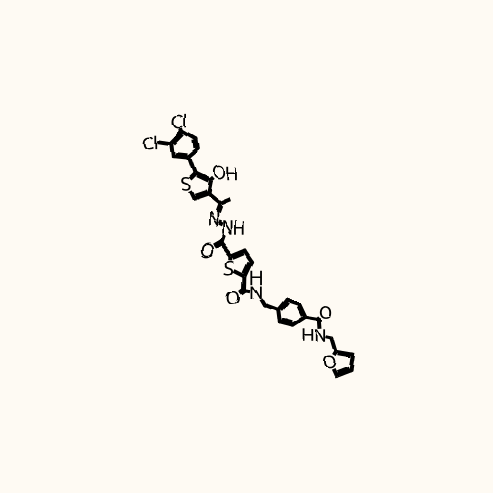 C/C(=N\NC(=O)c1ccc(C(=O)NCc2ccc(C(=O)NCc3ccco3)cc2)s1)c1csc(-c2ccc(Cl)c(Cl)c2)c1O